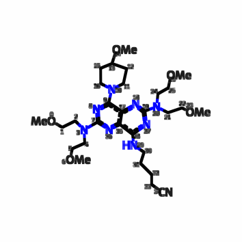 COCCN(CCOC)c1nc(N2CCC(OC)CC2)c2nc(N(CCOC)CCOC)nc(NCCCCC#N)c2n1